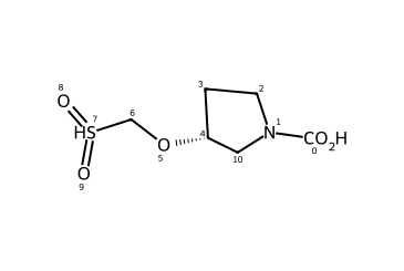 O=C(O)N1CC[C@@H](OC[SH](=O)=O)C1